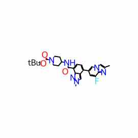 Cc1cn2cc(-c3ccc(C(=O)NC4CCN(C(=O)OC(C)(C)C)CC4)c4nn(C)cc34)cc(F)c2n1